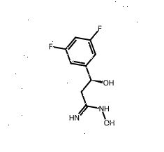 N=C(C[C@H](O)c1cc(F)cc(F)c1)NO